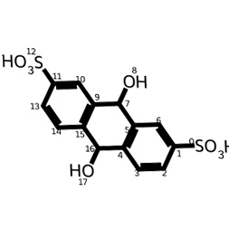 O=S(=O)(O)c1ccc2c(c1)C(O)c1cc(S(=O)(=O)O)ccc1C2O